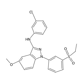 CCS(=O)(=O)c1cccc(-n2nc(Nc3cccc(Cl)c3)c3cc(OC)ccc32)c1